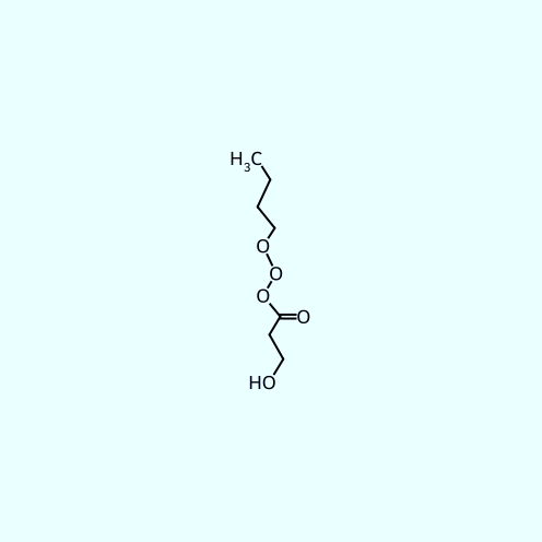 CCCCOOOC(=O)CCO